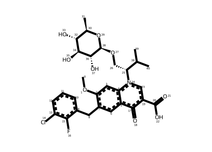 COc1cc2c(cc1Cc1cccc(Cl)c1F)c(=O)c(C(=O)O)cn2[C@H](CO[C@@H]1O[C@H](C)[C@@H](O)[C@H](O)[C@H]1O)C(C)C